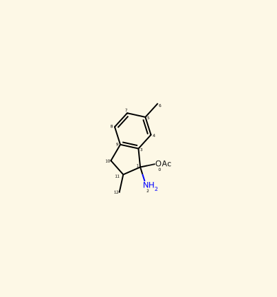 CC(=O)OC1(N)c2cc(C)ccc2CC1C